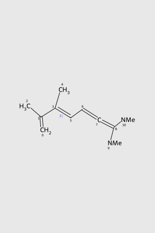 C=C(C)/C(C)=C/C=C=C(NC)NC